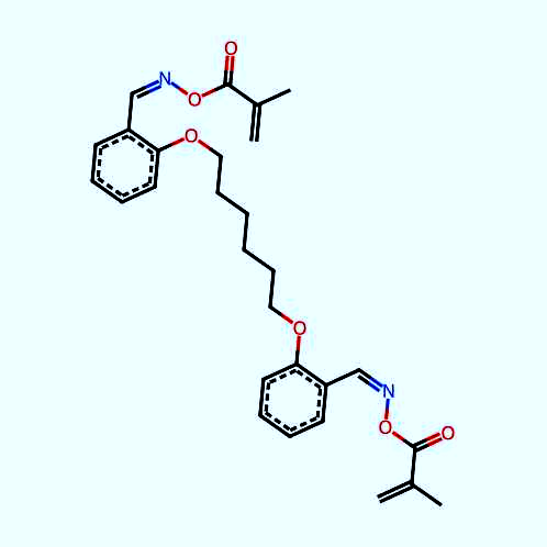 C=C(C)C(=O)O/N=C\c1ccccc1OCCCCCCOc1ccccc1/C=N\OC(=O)C(=C)C